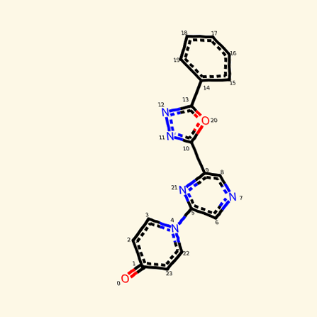 O=c1ccn(-c2cncc(-c3nnc(-c4ccccc4)o3)n2)cc1